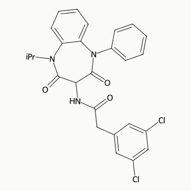 CC(C)N1C(=O)C(NC(=O)Cc2cc(Cl)cc(Cl)c2)C(=O)N(c2ccccc2)c2ccccc21